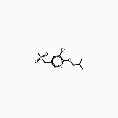 CC(C)COc1ncc(CS(C)(=O)=O)cc1Br